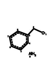 [AlH3].[O]Cc1ccccc1